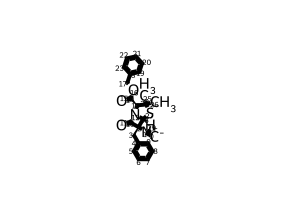 [C-]#[N+][C@]1(Cc2ccccc2)C(=O)N2[C@@H](C(=O)OCc3ccccc3)C(C)(C)S[C@@H]21